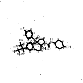 O=C(NC1CCC(O)CC1)[C@@H]1CC[C@@]2(S(=O)(=O)c3ccc(F)cc3)c3ccc(C(F)(C(F)(F)F)C(F)(F)F)cc3CC[C@@H]12